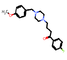 COc1ccc(CN2CCN(CCCC(=O)c3ccc(F)cc3)CC2)cc1